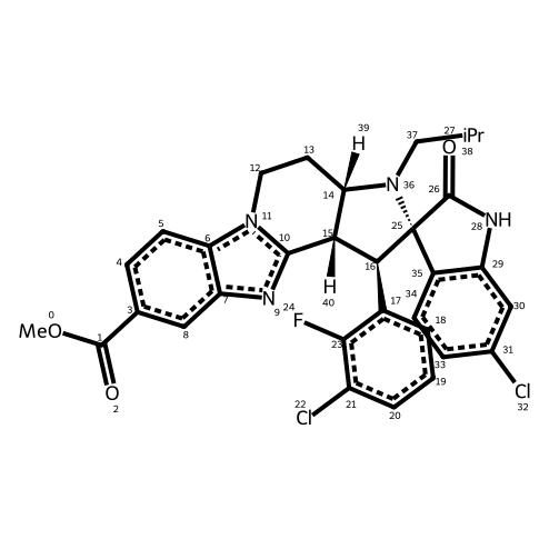 COC(=O)c1ccc2c(c1)nc1n2CC[C@H]2[C@@H]1[C@H](c1cccc(Cl)c1F)[C@]1(C(=O)Nc3cc(Cl)ccc31)N2CC(C)C